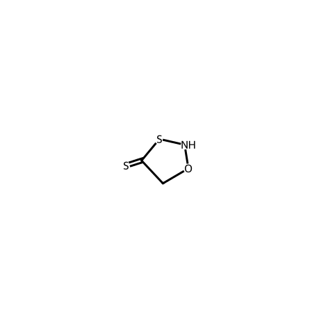 S=C1CONS1